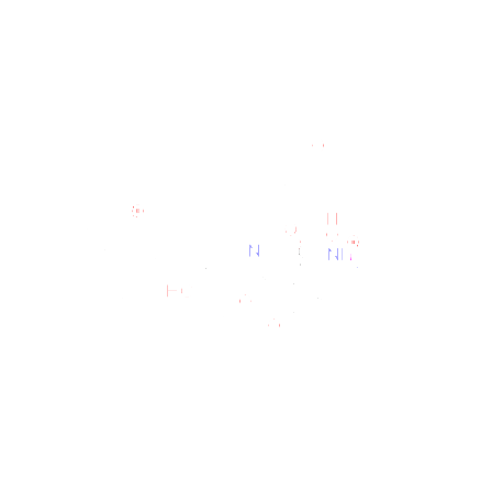 COc1ccccc1CC(O)(CN(CC(O)(Cc1ccccc1OC)C(c1ccccc1OC)c1cccc2ccccc12)C(=O)C1(C(N)=O)CC1)C(c1ccccc1OC)c1cccc2ccccc12